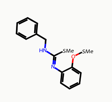 CSOc1ccccc1/N=C(/NCc1ccccc1)SC